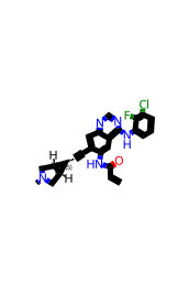 C=CC(=O)Nc1cc2c(Nc3cccc(Cl)c3F)ncnc2cc1C#C[C@@H]1[C@H]2CN(C)C[C@@H]12